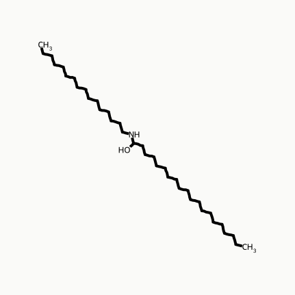 CCCCCCCCCCCCCCCCCCCC(O)NCCCCCCCCCCCCCCCC